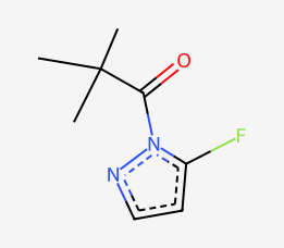 CC(C)(C)C(=O)n1nccc1F